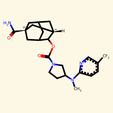 CN(c1ccc(C(F)(F)F)cn1)C1CCN(C(=O)OC2C3CC4C[C@H]2C[C@@](C(N)=O)(C4)C3)C1